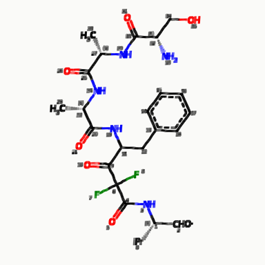 CC(C)[C@@H]([C]=O)NC(=O)C(F)(F)C(=O)C(Cc1ccccc1)NC(=O)[C@H](C)NC(=O)[C@H](C)NC(=O)[C@@H](N)CO